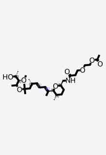 CO[C@H](C(C)OC(C)(C)C[C@H](C)/C=C/C=C(\C)[C@H]1O[C@@H](CNC(=O)CCOCCOC(C)=O)CC[C@@H]1C)[C@@H](C)O